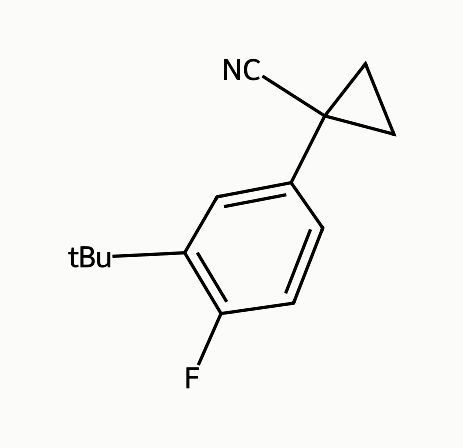 CC(C)(C)c1cc(C2(C#N)CC2)ccc1F